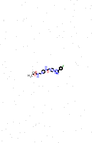 C=C(C)OC(=O)NCCN1CCC(NC(=O)CN2CCN(c3nncc(-c4ccc(F)cc4)n3)CC2)CC1